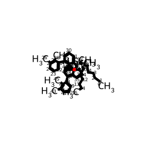 CCCCC[CH2][Hf]([CH3])([CH3])(=[SiH2])([CH2]CCCCC)([CH]1C=Cc2c(-c3cccc(C)c3C)cccc21)[CH]1C=Cc2c(-c3cccc(C)c3C)cccc21